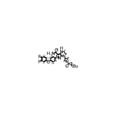 CC(C)(C)OC(=O)N1CC(N2CCNc3c2nn(-c2ccc(Oc4ccc(F)c(F)c4)cc2)c3C(N)=O)C1